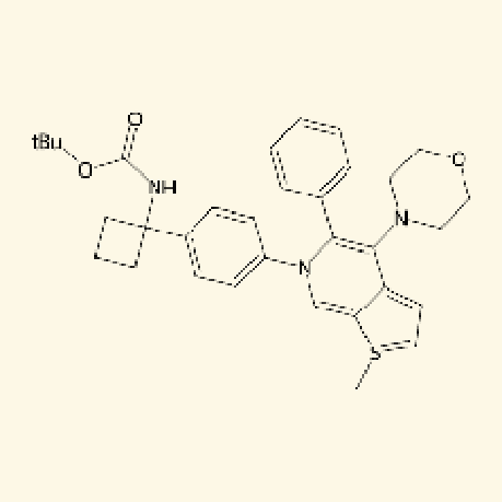 CS1=CC=C2C1=CN(c1ccc(C3(NC(=O)OC(C)(C)C)CCC3)cc1)C(c1ccccc1)=C2N1CCOCC1